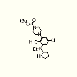 CCN(c1cc(Cl)cc(N2CCN(C(=O)OC(C)(C)C)CC2)c1C)C1CCCN1